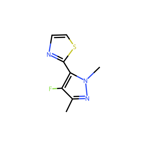 Cc1nn(C)c(-c2nccs2)c1F